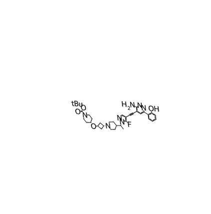 CC(C1CCN([C@H]2C[C@H](OC3CCN(C(=O)OC(C)(C)C)CC3)C2)CC1)n1ncc(C#Cc2cc(-c3ccccc3O)nnc2N)c1F